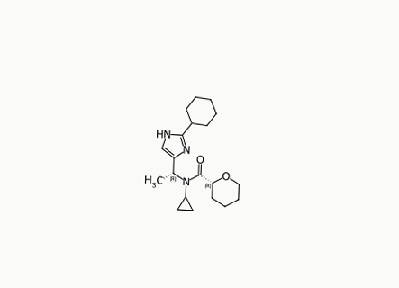 C[C@H](c1c[nH]c(C2CCCCC2)n1)N(C(=O)[C@H]1CCCCO1)C1CC1